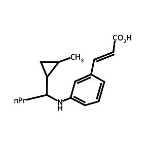 CCCC(Nc1cccc(C=CC(=O)O)c1)C1CC1C